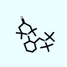 CC(C)(C)P(CC1CCCCC1P1C(C)(C)CC(=O)CC1(C)C)C(C)(C)C